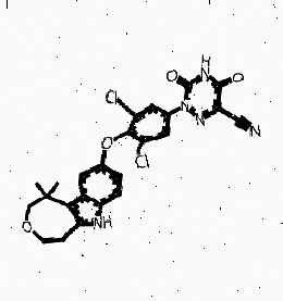 CC1(C)COCCc2[nH]c3ccc(Oc4c(Cl)cc(-n5nc(C#N)c(=O)[nH]c5=O)cc4Cl)cc3c21